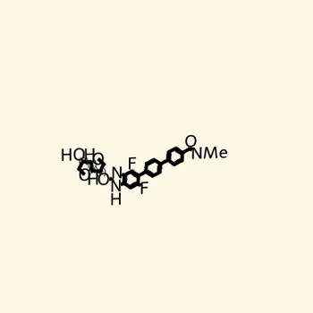 CNC(=O)c1ccc(-c2ccc(-c3c(F)cc4[nH]c(O[C@@H]5CO[C@H]6[C@@H]5OC[C@H]6O)nc4c3F)cc2)cc1